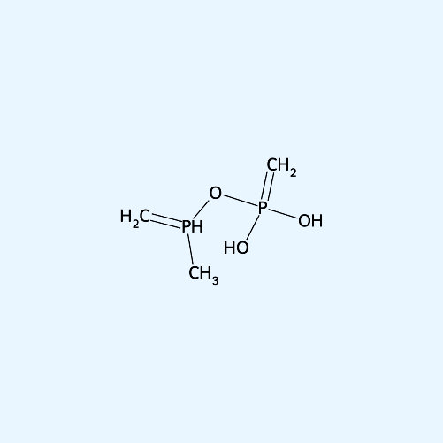 C=[PH](C)OP(=C)(O)O